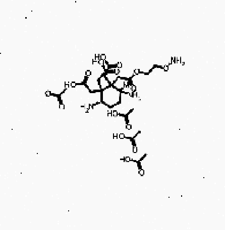 CC(=O)O.CC(=O)O.CC(=O)O.CC(=O)O.NOCCOC(=O)CC1(CC(=O)O)C(N)(N)CCC(N)C1(CC(=O)O)CC(=O)O